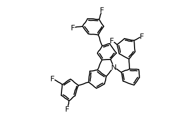 Fc1cc(F)cc(-c2ccc3c(c2)c2cc(-c4cc(F)cc(F)c4)ccc2n3-c2ccccc2-c2cc(F)cc(F)c2)c1